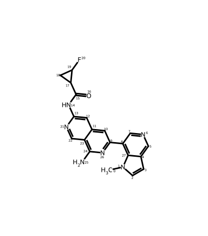 Cn1ccc2cncc(-c3cc4cc(NC(=O)C5CC5F)ncc4c(N)n3)c21